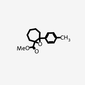 COC(=O)C12CCCCCC1(c1ccc(C)cc1)O2